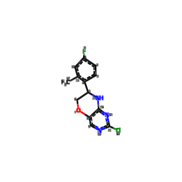 Fc1ccc(C2COc3cnc(Cl)nc3N2)c(C(F)(F)F)c1